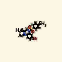 CC(=O)N1c2ccc(Br)cc2N(S(=O)(=O)c2ccc(C)cc2)C[C@@H]1C